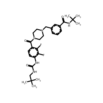 CC(C)(C)CNC(=O)Nc1ccc(C(=O)N2CCN(Cc3cccc(C(=O)NC(C)(C)C)c3)CC2)c(F)c1F